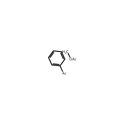 CC(=O)c1ccccc1.COC(C)=O